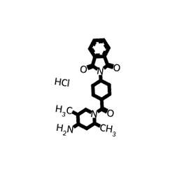 CC1CN(C(=O)C2CCC(N3C(=O)c4ccccc4C3=O)CC2)C(C)CC1N.Cl